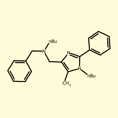 CCCCN(Cc1ccccc1)Cc1nc(-c2ccccc2)n(CCCC)c1C